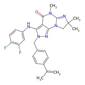 C=C(C)c1ccc(Cn2nc3c(c2Nc2ccc(F)c(F)c2)C(=O)N(C)C2=NC(C)(C)CN23)cc1